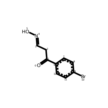 O=C(CC=NO)c1ccc(Br)cc1